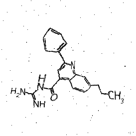 CCCc1ccc2c(C(=O)NC(=N)N)cc(-c3ccccc3)nc2c1